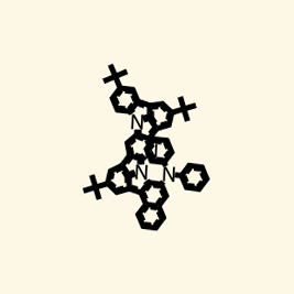 CC(C)(C)c1ccc2c(c1)c1cc(C(C)(C)C)cc3c4nc5c(cc4n2c13)c1cc(C(C)(C)C)cc2c3c4ccccc4cc(N(c4ccccc4)c4ccccc4)c3n5c12